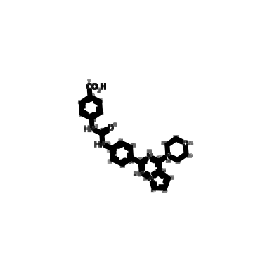 O=C(Nc1ccc(C(=O)O)cc1)Nc1ccc(-c2nc(N3CCOCC3)c3cccn3n2)cc1